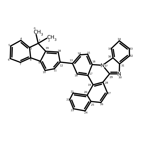 CC1(C)c2ccccc2-c2ccc(-c3ccc4c(c3)c3c5ccccc5ccc3c3nc5ccccc5n43)cc21